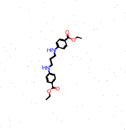 CCOC(=O)c1ccc(NCCCNc2ccc(C(=O)OCC)cc2)cc1